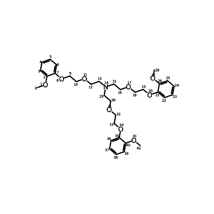 COc1ccccc1OCCOCCN(CCOCCOc1ccccc1OC)CCOCCOc1ccccc1OC